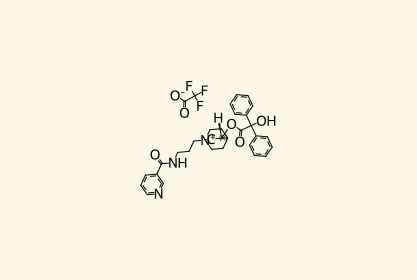 O=C(NCCC[N+]12CCC(CC1)[C@@H](OC(=O)C(O)(c1ccccc1)c1ccccc1)C2)c1cccnc1.O=C([O-])C(F)(F)F